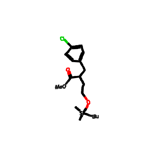 COC(=O)C(CCO[Si](C)(C)C(C)(C)C)Cc1ccc(Cl)cc1